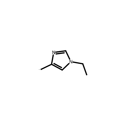 [CH2]c1cn(CC)cn1